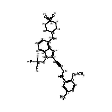 COc1ccc(C)cc1NCC#Cc1cc2c(NC3CCS(=O)(=O)CC3)cccc2n1CC(F)(F)F